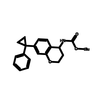 CC(C)(C)OC(=O)NC1CCOc2cc(C3(c4ccccc4)CC3)ccc21